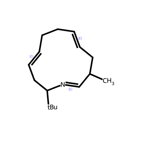 CC1/C=N/C(C(C)(C)C)C/C=C/CC/C=C/C1